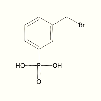 O=P(O)(O)c1cccc(CBr)c1